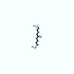 CCCCCC([S])CCCCC